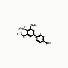 COc1cc(-c2ccc(C(C)(C)C)cc2)cc(CO)c1OC